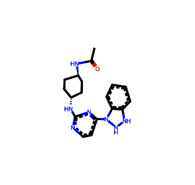 CC(=O)N[C@H]1CC[C@H](Nc2nccc(N3NNc4ccccc43)n2)CC1